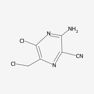 N#Cc1nc(CCl)c(Cl)nc1N